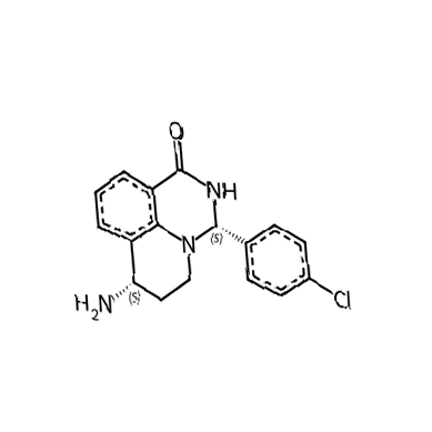 N[C@H]1CCN2c3c(cccc31)C(=O)N[C@@H]2c1ccc(Cl)cc1